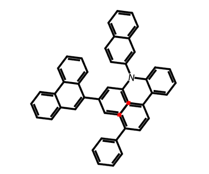 c1ccc(-c2ccc(-c3ccccc3N(c3cccc(-c4cc5ccccc5c5ccccc45)c3)c3ccc4ccccc4c3)cc2)cc1